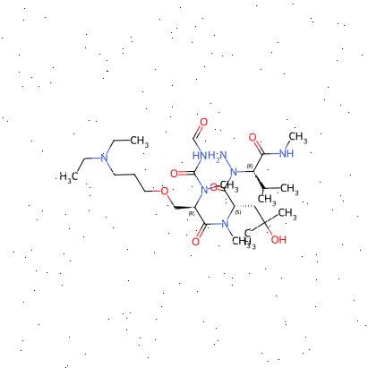 CCN(CC)CCCOC[C@H](C(=O)N(C)[C@@H](CC(C)(C)O)C(=O)N(N)[C@@H](C(=O)NC)C(C)C)N(C)C(=O)NC=O